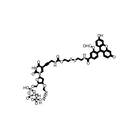 [N-]=[N+]=NCOC1C[C@H](n2cc(C#CCNC(=O)OCCSSCCNC(=O)c3ccc(-c4c5ccc(=O)cc-5oc5cc(O)ccc45)c(OC=O)c3)c(=O)[nH]c2=O)O[C@@H]1COP(=O)(O)OP(=O)(O)OP(=O)(O)O